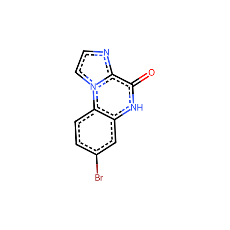 O=c1[nH]c2cc(Br)ccc2n2ccnc12